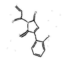 C=CC(=O)N1C(=C)C(c2ccccc2F)=CC1=O